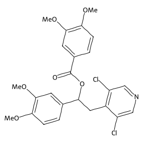 COc1ccc(C(=O)OC(Cc2c(Cl)cncc2Cl)c2ccc(OC)c(OC)c2)cc1OC